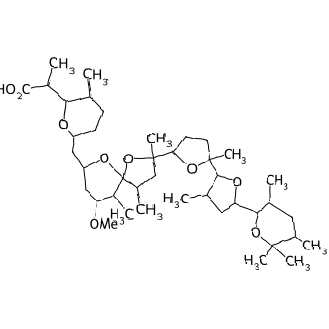 COC1CC(CC2CCC(C)C(C(C)C(=O)O)O2)OC2(OC(C)(C3CCC(C)(C4OC(C5OC(C)(C)C(C)CC5C)CC4C)O3)CC2C)C1C